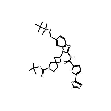 CC(C)(C)OC(=O)N1CCC2(CC(n3c(NC(=O)c4ccc(-c5cnco5)s4)nc4ccc(CO[Si](C)(C)C(C)(C)C)cc43)C2)C1